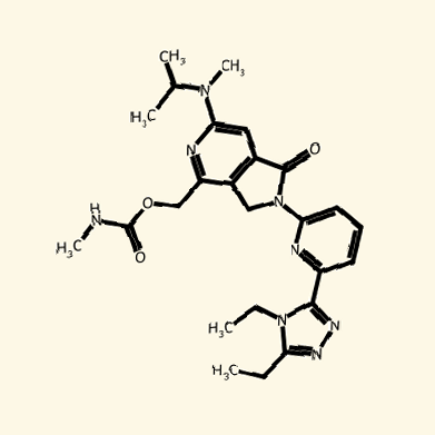 CCc1nnc(-c2cccc(N3Cc4c(cc(N(C)C(C)C)nc4COC(=O)NC)C3=O)n2)n1CC